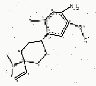 C=C[C@]1(N(C)C)CC[C@@H](c2cc(OC(C)C)c(N)cc2C)CC1